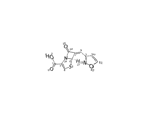 O=C(O)C1=CS[C@@H]2/C(=C\c3ccon3)C(=O)N12